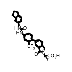 CC(C)[C@@H](C(=O)O)N1Cc2ccc(-c3ccc(NC(=O)Nc4ccc5c(c4)CCC5)cc3C(F)(F)F)cc2C1=O